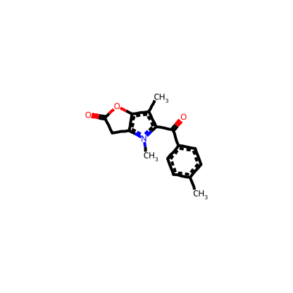 Cc1ccc(C(=O)c2c(C)c3c(n2C)CC(=O)O3)cc1